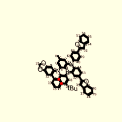 Cc1cc2c3c(c1)N(c1cc4c(cc1-c1ccccc1)OCO4)c1ccc(C(C)(C)C)cc1B3c1cc(-c3cc4ccccc4o3)ccc1N2c1ccc(-c2cc3ccccc3o2)cc1